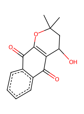 CC1(C)CC(O)C2=C(O1)C(=O)c1ccccc1C2=O